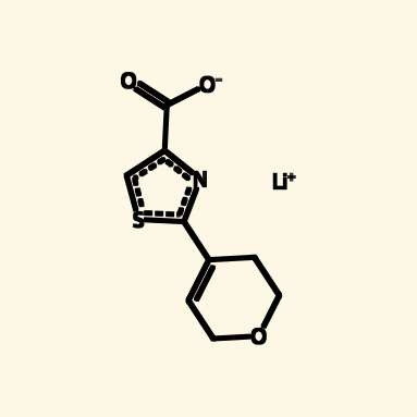 O=C([O-])c1csc(C2=CCOCC2)n1.[Li+]